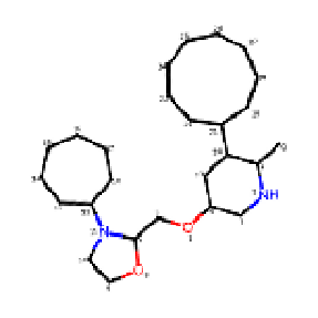 CC1NCC(OCC2OCCN2C2CCCCCC2)CC1C1CCCCCCCC1